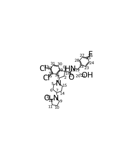 CC(CCN1CCC(N2CCCC2=O)CC1)(C(=O)N[C@@H](CO)c1ccc(F)cc1)c1ccc(Cl)c(Cl)c1